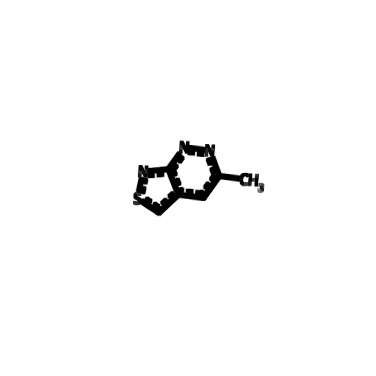 Cc1cc2csnc2nn1